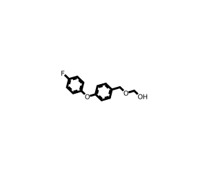 OCOCc1ccc(Oc2ccc(F)cc2)cc1